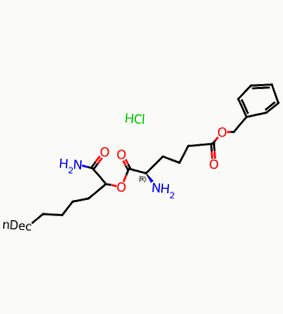 CCCCCCCCCCCCCCC(OC(=O)[C@H](N)CCCC(=O)OCc1ccccc1)C(N)=O.Cl